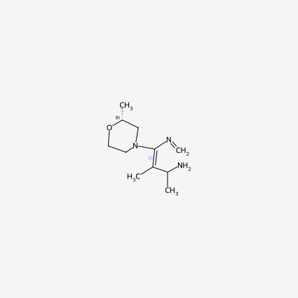 C=N/C(=C(/C)C(C)N)N1CCO[C@H](C)C1